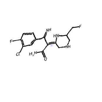 N=C(/C(C(N)=O)=C1/CNCC(CF)N1)c1ccc(F)c(Cl)c1